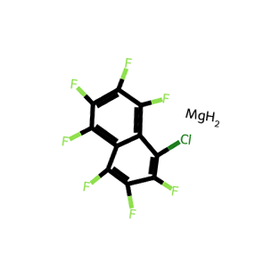 Fc1c(F)c(F)c2c(Cl)c(F)c(F)c(F)c2c1F.[MgH2]